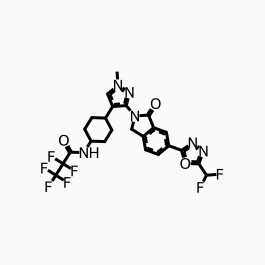 Cn1cc(C2CCC(NC(=O)C(F)(F)C(F)(F)F)CC2)c(N2Cc3ccc(-c4nnc(C(F)F)o4)cc3C2=O)n1